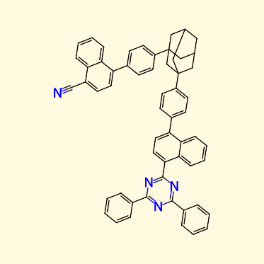 N#Cc1ccc(-c2ccc(C34CC5CC(C3)CC(c3ccc(-c6ccc(-c7nc(-c8ccccc8)nc(-c8ccccc8)n7)c7ccccc67)cc3)(C5)C4)cc2)c2ccccc12